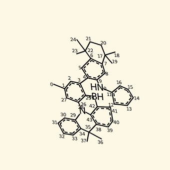 Cc1cc(-c2cc3c(cc2Nc2ccccc2)C(C)(C)CCC3(C)C)c2c(c1)N1c3ccccc3C(C)(C)c3cccc(c31)B2